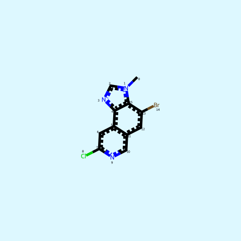 Cn1cnc2c3cc(Cl)ncc3cc(Br)c21